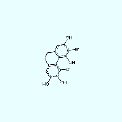 Oc1cc2c(c(Br)c1O)-c1c(cc(O)c(Br)c1O)CC2